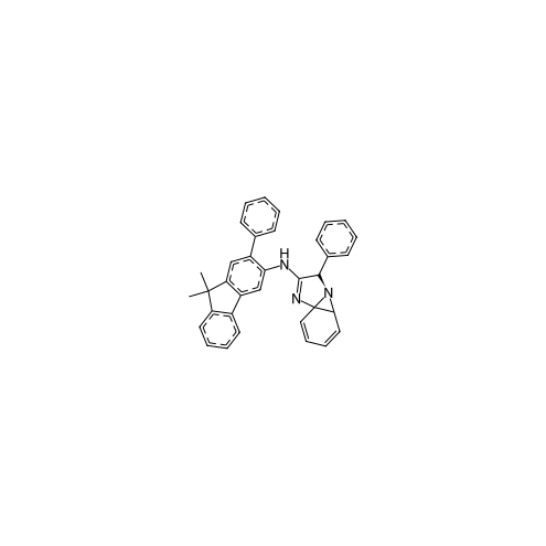 CC1(C)c2ccccc2-c2cc(NC3=NC45C=CC=CC4[N@]5C3c3ccccc3)c(-c3ccccc3)cc21